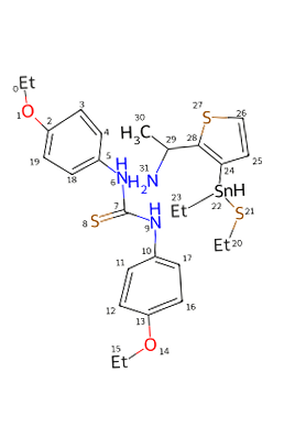 CCOc1ccc(NC(=S)Nc2ccc(OCC)cc2)cc1.CC[S][SnH]([CH2]C)[c]1ccsc1C(C)N